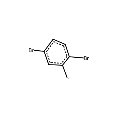 [CH]c1cc(Br)ccc1Br